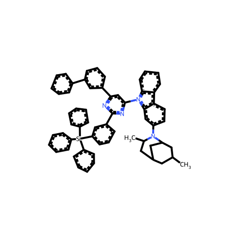 CC1CC2CC(C)N(c3ccc4c5ccccc5n(-c5cc(-c6cccc(-c7ccccc7)c6)nc(-c6cccc([Si](c7ccccc7)(c7ccccc7)c7ccccc7)c6)n5)c4c3)C(C1)C2